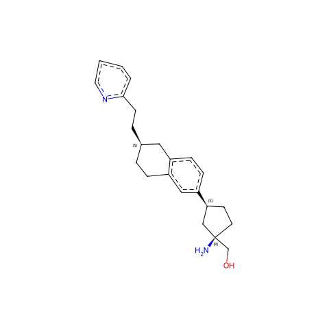 N[C@]1(CO)CC[C@H](c2ccc3c(c2)CC[C@@H](CCc2ccccn2)C3)C1